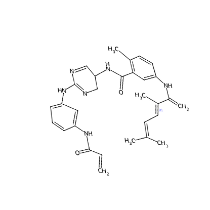 C=CC(=O)Nc1cccc(NC2=NCC(NC(=O)c3cc(NC(=C)/C(C)=C/C=C(C)C)ccc3C)C=N2)c1